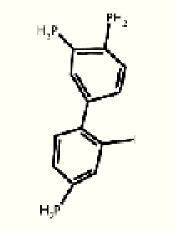 Pc1ccc(-c2ccc(P)c(P)c2)c(I)c1